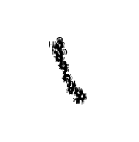 CN(C)c1c(F)ccc2cnc(-n3ccc4cc(N5CCC(CCN6CCN(c7ccc8c(c7)C(=O)N(C7CCC(=O)NC7=O)C8=O)CC6)CC5)ncc43)cc12